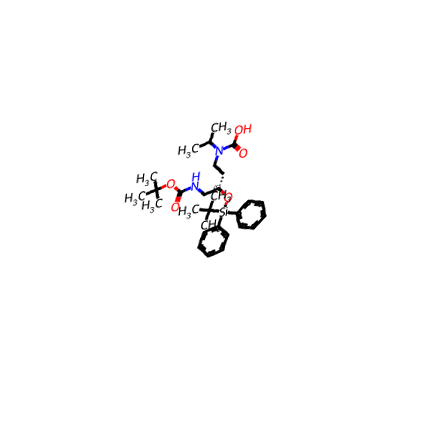 CC(C)N(CC[C@@H](CNC(=O)OC(C)(C)C)O[Si](c1ccccc1)(c1ccccc1)C(C)(C)C)C(=O)O